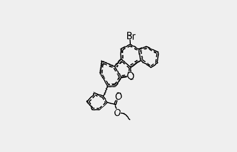 CCOC(=O)c1ccccc1-c1ccc2c(c1)oc1c3ccccc3c(Br)cc21